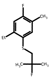 CCc1cc(F)c(C)cc1SCC(C)(C)F